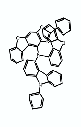 c1ccc(-c2nc3c(N(c4cccc5oc6ccccc6c45)c4cccc5c4c4ccccc4n5-c4ccccc4)c4c(cc3o2)oc2ccccc24)cc1